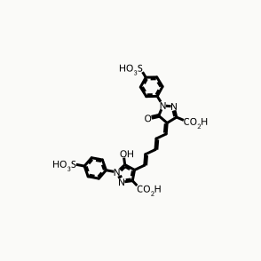 O=C(O)C1=NN(c2ccc(S(=O)(=O)O)cc2)C(=O)/C1=C\C=CC=Cc1c(C(=O)O)nn(-c2ccc(S(=O)(=O)O)cc2)c1O